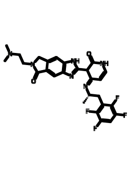 C[C@@H](Cc1c(F)c(F)cc(F)c1F)/N=C1\C=CNC(=O)C1c1nc2cc3c(cc2[nH]1)CN(CCN(C)C)C3=O